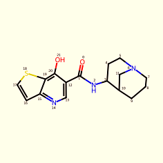 O=C(NC1CCN2CCCC1C2)c1cnc2ccsc2c1O